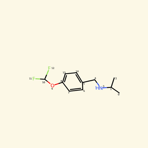 CC(C)NCc1ccc(OC(F)F)cc1